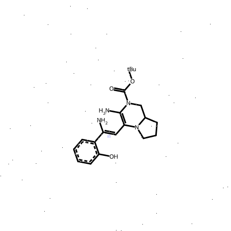 CC(C)(C)OC(=O)N1CC2CCCN2C(/C=C(\N)c2ccccc2O)=C1N